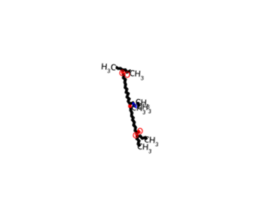 CCCCC(CCCC)OC(=O)CCCCCCCCCCCC(CCCCCCCCCCCC(=O)OC(CCCC)CCCC)CN(C)C(C)C